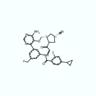 C=CC(=O)N1C[C@@H](C#N)C[C@H]1COc1c(N)ncnc1-c1cc(CF)cc(NC(=O)c2ccc(C3CC3)cc2F)c1